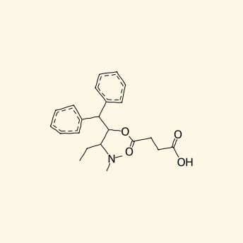 CCC(C(OC(=O)CCC(=O)O)C(c1ccccc1)c1ccccc1)N(C)C